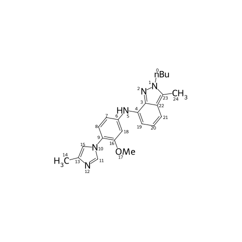 CCCCn1nc2c(Nc3ccc(-n4cnc(C)c4)c(OC)c3)cccc2c1C